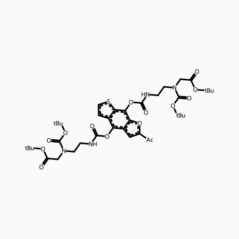 CC(=O)c1cc2c(OC(=O)NCCN(CC(=O)OC(C)(C)C)C(=O)OC(C)(C)C)c3ccsc3c(OC(=O)NCCN(CC(=O)OC(C)(C)C)C(=O)OC(C)(C)C)c2o1